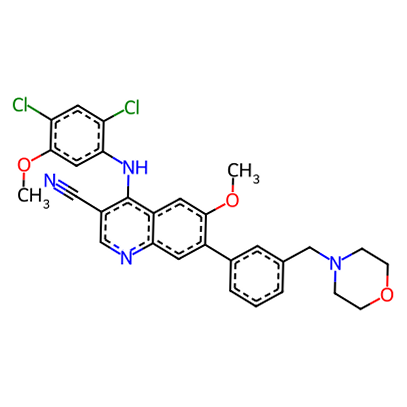 COc1cc(Nc2c(C#N)cnc3cc(-c4cccc(CN5CCOCC5)c4)c(OC)cc23)c(Cl)cc1Cl